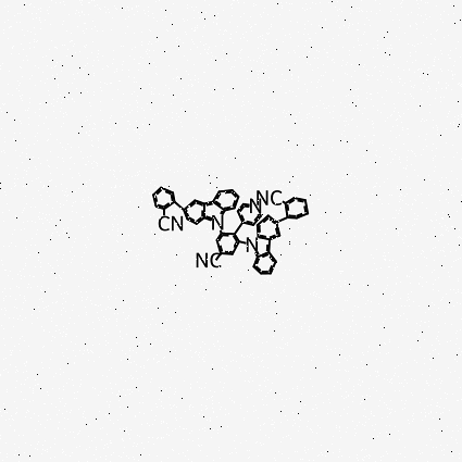 N#Cc1cc(-n2c3ccccc3c3cc(-c4ccccc4C#N)ccc32)c(-c2ccncc2)c(-n2c3ccccc3c3cc(-c4ccccc4C#N)ccc32)c1